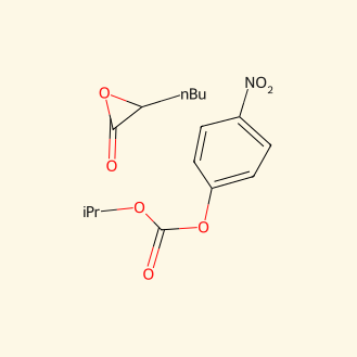 CC(C)OC(=O)Oc1ccc([N+](=O)[O-])cc1.CCCCC1OC1=O